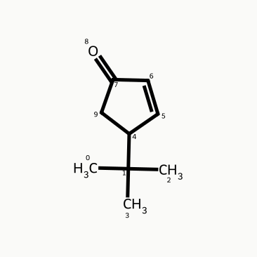 CC(C)(C)C1C=CC(=O)C1